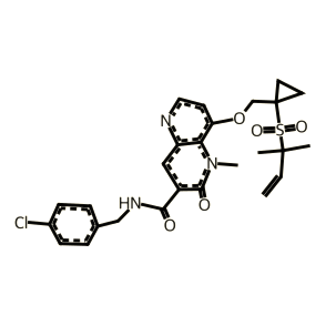 C=CC(C)(C)S(=O)(=O)C1(COc2ccnc3cc(C(=O)NCc4ccc(Cl)cc4)c(=O)n(C)c23)CC1